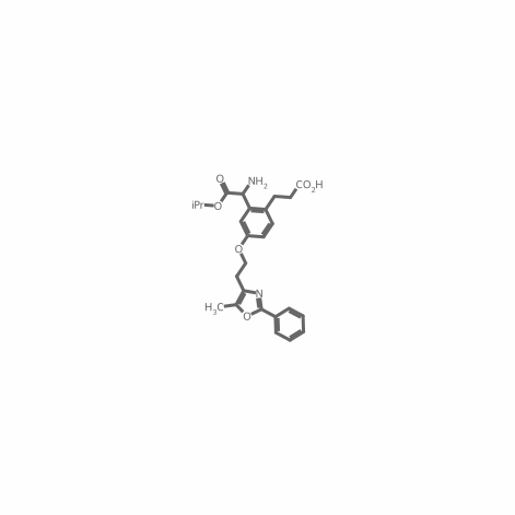 Cc1oc(-c2ccccc2)nc1CCOc1ccc(CCC(=O)O)c(C(N)C(=O)OC(C)C)c1